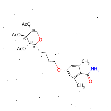 CC(=O)O[C@@H]1[C@@H](OC(C)=O)[C@H](OC(C)=O)CO[C@@H]1CCCCOc1cc(C)c(C(N)=O)c(C)c1